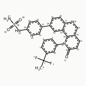 CC(F)(F)c1cccc(-n2c(=O)ccc3cnc4ccc(-c5ccc(NS(N)(=O)=O)nc5)cc4c32)c1